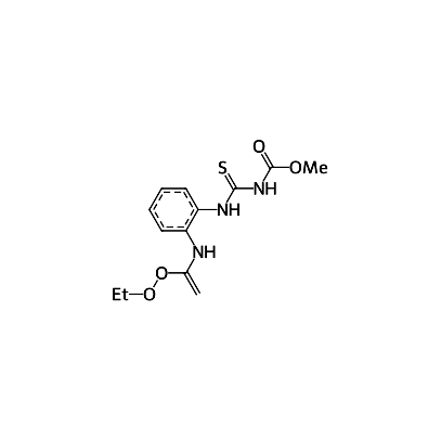 C=C(Nc1ccccc1NC(=S)NC(=O)OC)OOCC